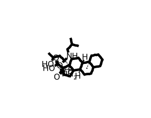 CC(C)CNC(CC(C)O)(OC(N)=O)[C@]12CC[C@H]3[C@@H](CCC4CCCC[C@@]43C)[C@@H]1CCC2C(=O)O